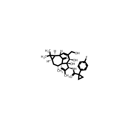 CC1=C[C@]23C(=O)[C@@H](C=C(CO)[C@@H](O)[C@]2(O)[C@H]1NC(=O)C1(c2ccc(F)cc2)CC1)[C@H]1[C@@H](C[C@H]3C)C1(C)C